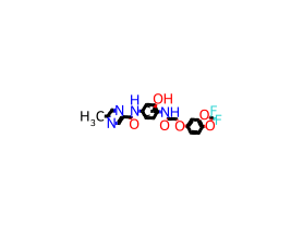 Cc1cnc(C(=O)NC23CCC(NC(=O)COc4ccc5c(c4)OC(F)(F)O5)(CC2)C(O)C3)cn1